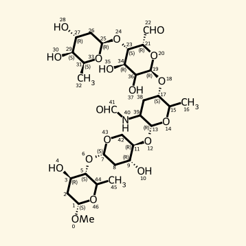 CO[C@@H]1C[C@@H](O)[C@H](O[C@H]2C[C@@H](O)[C@H](O[C@H]3OC(C)[C@@H](O[C@@H]4O[C@@H](C=O)[C@@H](O[C@@H]5C[C@@H](O)[C@H](O)[C@H](C)O5)[C@H](O)C4O)CC3NC=O)CO2)C(C)O1